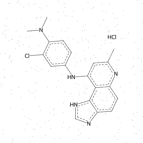 Cc1cc(Nc2ccc(N(C)C)c(Cl)c2)c2c(ccc3nc[nH]c32)n1.Cl